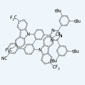 CC(C)(C)c1cc(-c2nc(-c3cc(C(C)(C)C)cc(C(C)(C)C)c3)nc(-c3ccc(-n4c5ccc(C(F)(F)F)cc5c5cc(C(F)(F)F)ccc54)c(-c4cc(-c5cccc(C#N)c5)ccc4-n4c5ccc(C(F)(F)F)cc5c5cc(C(F)(F)F)ccc54)c3)n2)cc(C(C)(C)C)c1